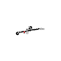 CCCCCCCCCCCCCCCCCCOCC(C[S+]([O-])CC[S+]([O-])CCOCC[n+]1ccccc1)Oc1ncccn1.[Cl-]